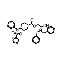 CC(COC(=O)N1CCC(N(c2ccccc2)S(=O)(=O)c2cccs2)CC1)N(Cc1ccccc1)Cc1ccccc1